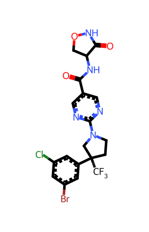 O=C(NC1CONC1=O)c1cnc(N2CCC(c3cc(Cl)cc(Br)c3)(C(F)(F)F)C2)nc1